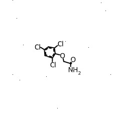 NC(=O)COc1c(Cl)cc(Cl)cc1Cl